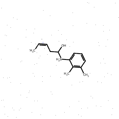 C/C=C\CC(O)[SiH2]c1cccc(C)c1C